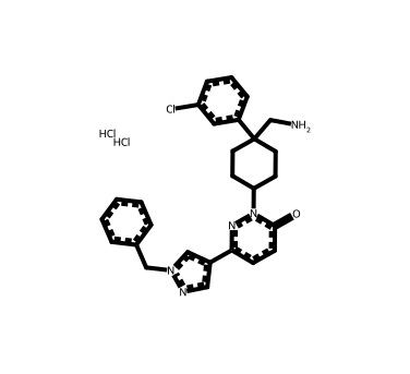 Cl.Cl.NCC1(c2cccc(Cl)c2)CCC(n2nc(-c3cnn(Cc4ccccc4)c3)ccc2=O)CC1